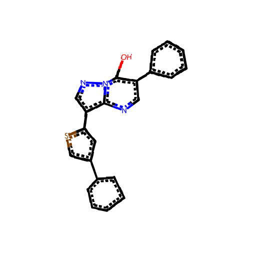 Oc1c(-c2ccccc2)cnc2c(-c3cc(-c4ccccc4)cs3)cnn12